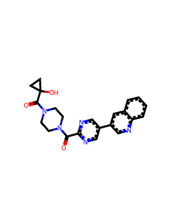 O=C(c1ncc(-c2cnc3ccccc3c2)cn1)N1CCN(C(=O)C2(O)CC2)CC1